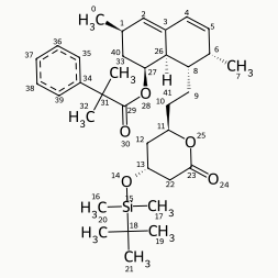 C[C@H]1C=C2C=C[C@H](C)[C@H](CC[C@@H]3C[C@@H](O[Si](C)(C)C(C)(C)C)CC(=O)O3)[C@H]2[C@@H](OC(=O)C(C)(C)c2ccccc2)C1